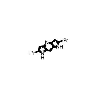 CC(C)c1cc2nc3cc(C(C)C)[nH]c3cc2[nH]1